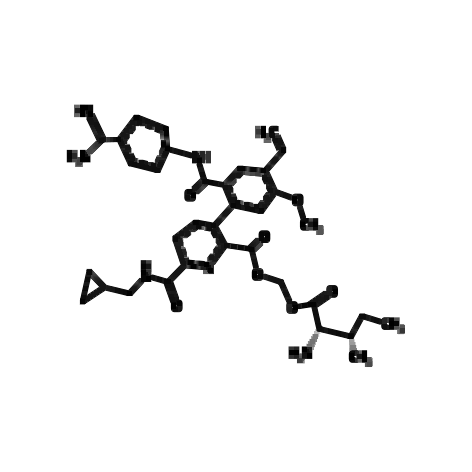 C=Cc1cc(C(=O)Nc2ccc(C(=N)N)cc2)c(-c2ccc(C(=O)NCC3CC3)nc2C(=O)OCOC(=O)[C@@H](N)[C@@H](C)CC)cc1OC